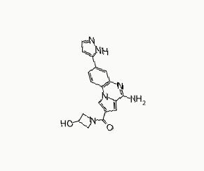 Nc1nc2cc(-c3ccn[nH]3)ccc2n2cc(C(=O)N3CC(O)C3)cc12